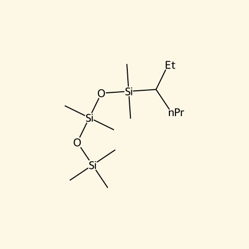 CCCC(CC)[Si](C)(C)O[Si](C)(C)O[Si](C)(C)C